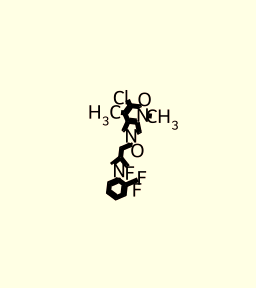 Cc1c2c(n(C)c(=O)c1Cl)CN(C(=O)CC1CN(c3ccccc3C(F)(F)F)C1)C2